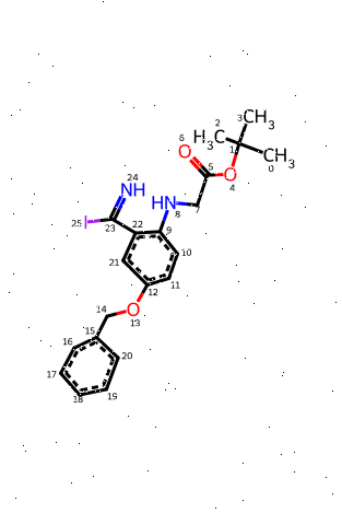 CC(C)(C)OC(=O)CNc1ccc(OCc2ccccc2)cc1C(=N)I